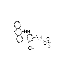 CS(=O)(=O)OCCNc1cc(CO)cc(Nc2c3ccccc3nc3ccccc23)c1